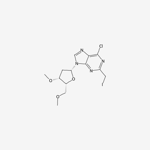 COC[C@H]1O[C@@H](n2cnc3c(Cl)nc(CI)nc32)C[C@H]1OC